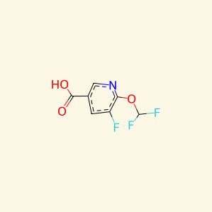 O=C(O)c1cnc(OC(F)F)c(F)c1